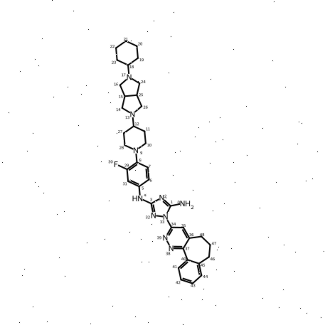 Nc1nc(Nc2ccc(N3CCC(N4CC5CN(C6CCCCC6)CC5C4)CC3)c(F)c2)nn1-c1cc2c(nn1)-c1ccccc1CCC2